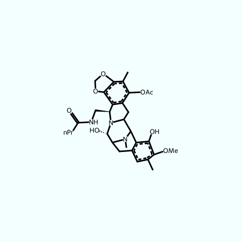 CCCC(=O)NC[C@H]1c2c(c(OC(C)=O)c(C)c3c2OCO3)CC2C3c4c(cc(C)c(OC)c4O)CC([C@H](O)N21)N3C